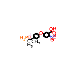 CC(C)(B(P)I)c1ccc(Oc2ccc([N+](=O)[O-])c(C(=O)O)c2)cc1